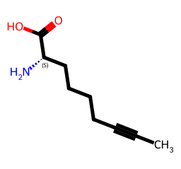 CC#CCCCC[C@H](N)C(=O)O